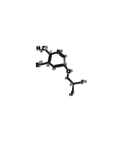 Cc1ncc(OCC(F)F)cc1Br